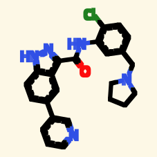 O=C(Nc1cc(CN2CCCC2)ccc1Cl)c1n[nH]c2ccc(-c3cccnc3)cc12